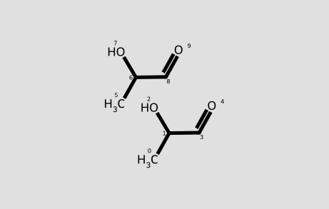 CC(O)C=O.CC(O)C=O